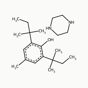 C1CNCCN1.CCC(C)(C)c1cc(C)cc(C(C)(C)CC)c1O